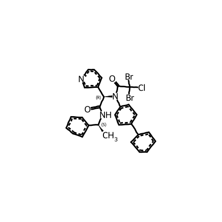 C[C@H](NC(=O)[C@@H](c1cccnc1)N(C(=O)C(Cl)(Br)Br)c1ccc(-c2ccccc2)cc1)c1ccccc1